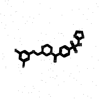 O=C(c1ccc(S(=O)(=O)Nc2nccs2)cc1)N1CCOC(COc2cc(F)cc(F)c2)C1